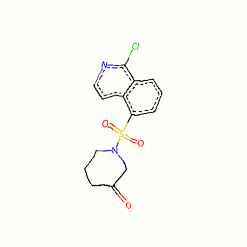 O=C1CCCN(S(=O)(=O)c2cccc3c(Cl)nccc23)C1